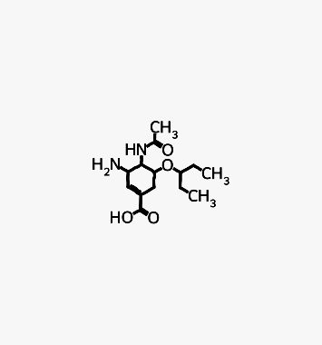 CCC(CC)OC1CC(C(=O)O)=CC(N)C1NC(C)=O